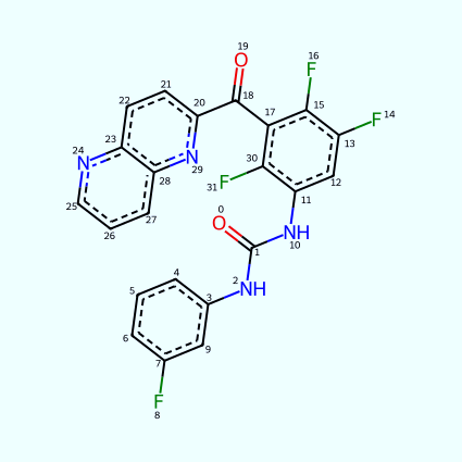 O=C(Nc1cccc(F)c1)Nc1cc(F)c(F)c(C(=O)c2ccc3ncccc3n2)c1F